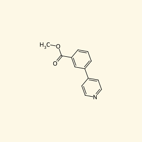 COC(=O)c1cccc(-c2ccncc2)c1